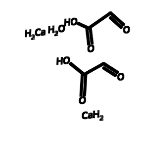 O.O=CC(=O)O.O=CC(=O)O.[CaH2].[CaH2]